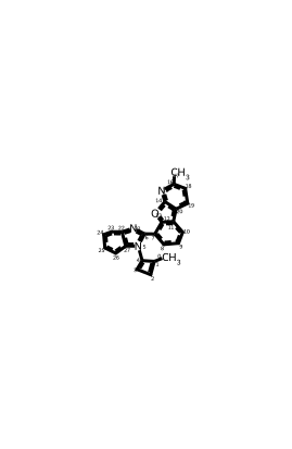 CC1=CC=C1n1c(-c2cccc3c2oc2nc(C)ccc23)nc2ccccc21